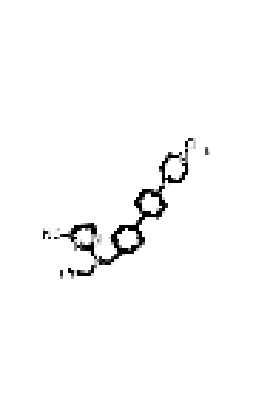 CC(C)CN(Cc1ccc(-c2ccc(N3CCN(C)CC3)cc2)cc1)c1nccc(C#N)n1